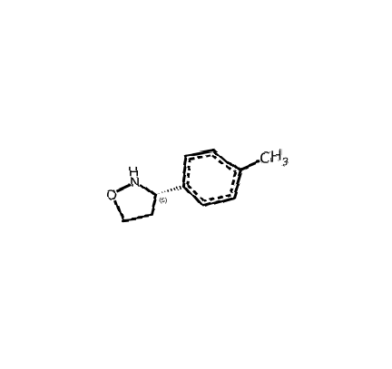 Cc1ccc([C@@H]2CCON2)cc1